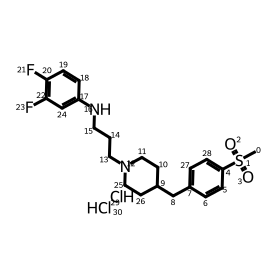 CS(=O)(=O)c1ccc(CC2CCN(CCCNc3ccc(F)c(F)c3)CC2)cc1.Cl.Cl